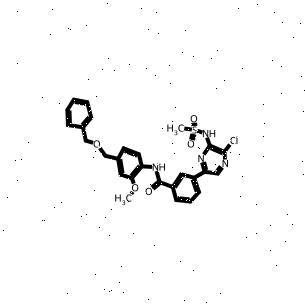 COc1cc(COCc2ccccc2)ccc1NC(=O)c1cccc(-c2cnc(Cl)c(NS(C)(=O)=O)n2)c1